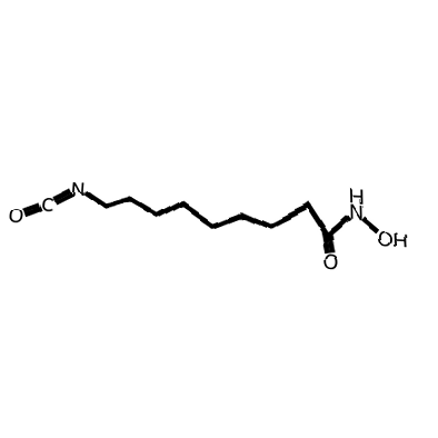 O=C=NCCCCCCCCC(=O)NO